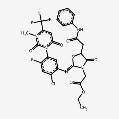 CCOC(=O)CN1C(=O)C(CC(=O)Nc2ccccc2)SC1=Nc1cc(-n2c(=O)cc(C(F)(F)F)n(C)c2=O)c(F)cc1Cl